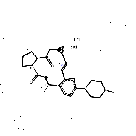 C[C@H](NC(=O)[C@@H]1CCCN1C(=O)CN)c1ccc(N2CCN(C)CC2)cc1/C=C/C1CC1.Cl.Cl